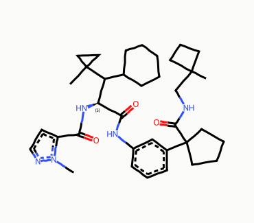 Cn1nccc1C(=O)N[C@H](C(=O)Nc1cccc(C2(C(=O)NCC3(C)CCC3)CCCC2)c1)C(C1CCCCC1)C1(C)CC1